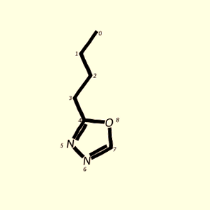 CCCCc1nnco1